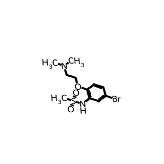 CN(C)CCOc1ccc(Br)cc1NS(C)(=O)=O